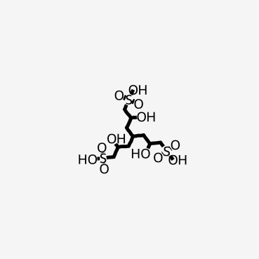 O=S(=O)(O)CC(O)CC(CC(O)CS(=O)(=O)O)CC(O)CS(=O)(=O)O